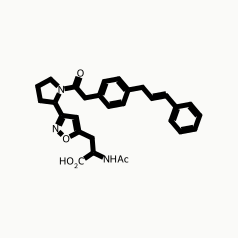 CC(=O)NC(Cc1cc(C2CCCN2C(=O)Cc2ccc(CC=Cc3ccccc3)cc2)no1)C(=O)O